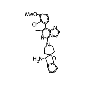 COc1cccc(-c2c(C)nc(N3CCC4(CC3)Oc3ccccc3[C@H]4N)n3ccnc23)c1Cl